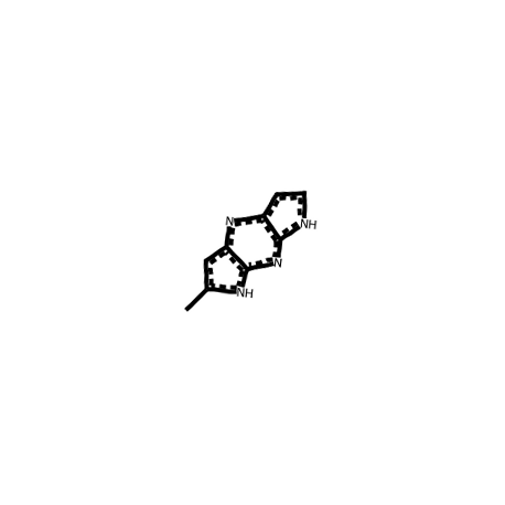 Cc1cc2nc3cc[nH]c3nc2[nH]1